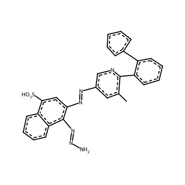 Cc1cc(/N=N/c2cc(S(=O)(=O)O)c3ccccc3c2N=NN)cnc1-c1ccccc1-c1ccccc1